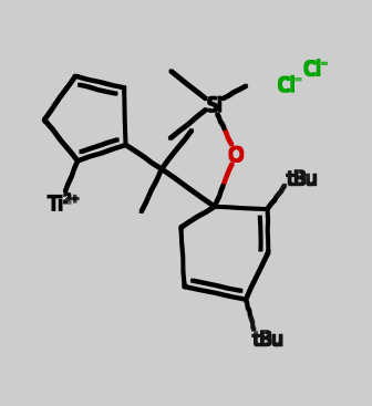 CC(C)(C)C1=CCC(O[Si](C)(C)C)(C(C)(C)C2=[C]([Ti+2])CC=C2)C(C(C)(C)C)=C1.[Cl-].[Cl-]